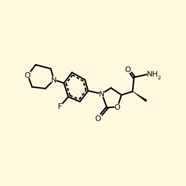 C[C@H](C(N)=O)C1CN(c2ccc(N3CCOCC3)c(F)c2)C(=O)O1